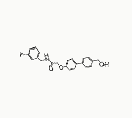 O=C(COc1ccc(-c2ccc(CO)cc2)cc1)NCc1cccc(F)c1